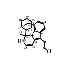 CCc1cccc2c(CCCl)c3n(c12)C(C)(C1CCCCC1)NC=C3